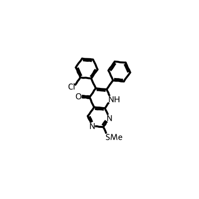 CSc1ncc2c(=O)c(-c3ccccc3Cl)c(-c3ccccc3)[nH]c2n1